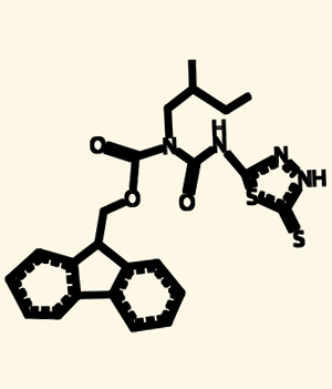 CCC(C)CN(C(=O)Nc1n[nH]c(=S)s1)C(=O)OCC1c2ccccc2-c2ccccc21